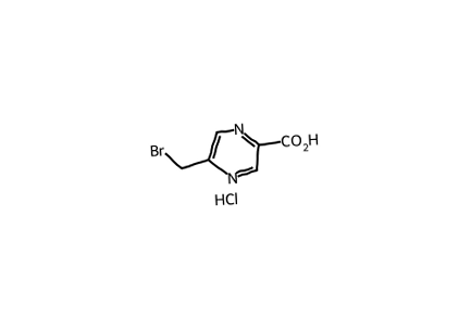 Cl.O=C(O)c1cnc(CBr)cn1